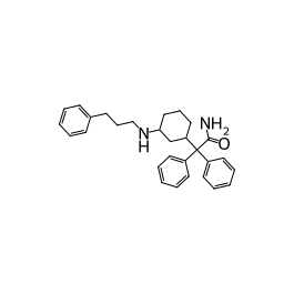 NC(=O)C(c1ccccc1)(c1ccccc1)C1CCCC(NCCCc2ccccc2)C1